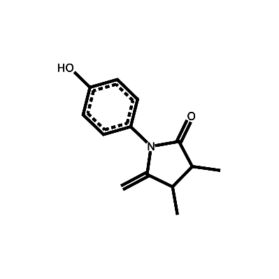 C=C1C(C)C(C)C(=O)N1c1ccc(O)cc1